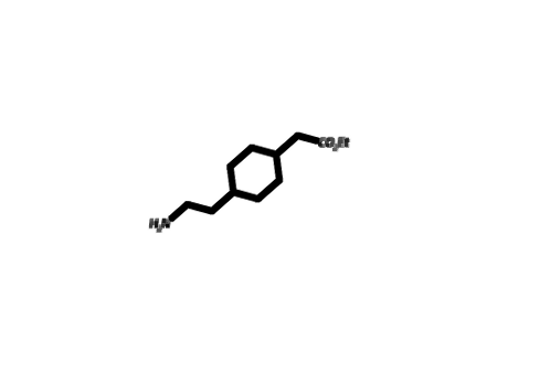 CCOC(=O)CC1CCC(CCN)CC1